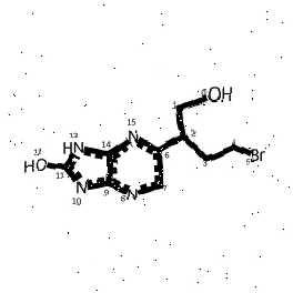 OCC(CCBr)c1cnc2nc(O)[nH]c2n1